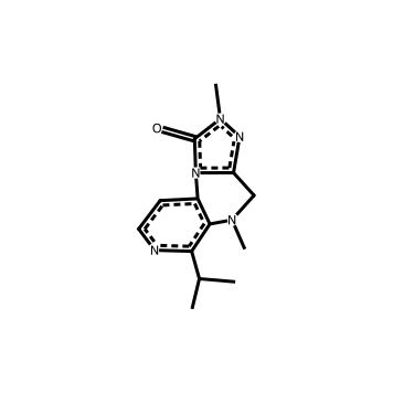 CC(C)c1nccc2c1N(C)Cc1nn(C)c(=O)n1-2